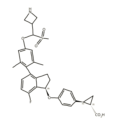 Cc1cc(OC(C2CNC2)S(C)(=O)=O)cc(C)c1-c1ccc(F)c2c1CC[C@H]2Oc1ccc([C@H]2C[C@@H]2C(=O)O)cc1